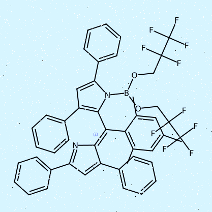 Cc1cc(C)c(/C(=C2/N=C(c3ccccc3)C=C2c2ccccc2)c2c(-c3ccccc3)cc(-c3ccccc3)n2B(OCC(F)(F)C(F)(F)F)OCC(F)(F)C(F)(F)F)c(C)c1